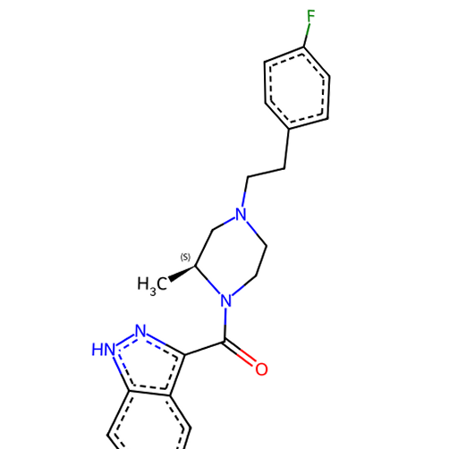 C[C@H]1CN(CCc2ccc(F)cc2)CCN1C(=O)c1n[nH]c2ccccc12